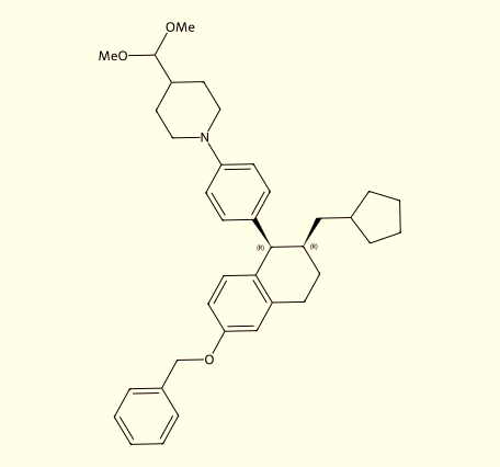 COC(OC)C1CCN(c2ccc([C@@H]3c4ccc(OCc5ccccc5)cc4CC[C@@H]3CC3CCCC3)cc2)CC1